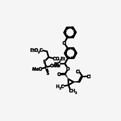 CC1(C)[C@H](C=C(Cl)Cl)[C@H]1C(=O)OC(C#N)c1cccc(Oc2ccccc2)c1.CCOC(=O)CC(SP(=S)(OC)OC)C(=O)OCC